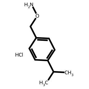 CC(C)c1ccc(CON)cc1.Cl